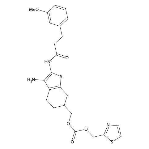 COc1cccc(CCC(=O)Nc2sc3c(c2N)CCC(COC(=O)OCc2nccs2)C3)c1